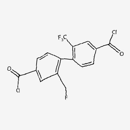 O=C(Cl)c1ccc(-c2ccc(C(=O)Cl)cc2C(F)(F)F)c(CF)c1